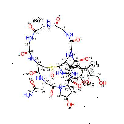 CC[C@H](C)[C@@H]1NC(=O)CNC(=O)C2Cc3c([nH]c4cc(OC)ccc34)[S@+]([O-])CC(NC(=O)CNC1=O)C(=O)N[C@@H](CC(N)=O)C(=O)N1CC(O)C[C@H]1C(=O)N[C@@H]([C@@H](C)[C@@H](O)CO)C(=O)N2